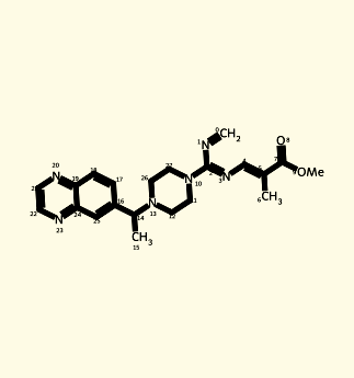 C=N/C(=N\C=C(/C)C(=O)OC)N1CCN(C(C)c2ccc3nccnc3c2)CC1